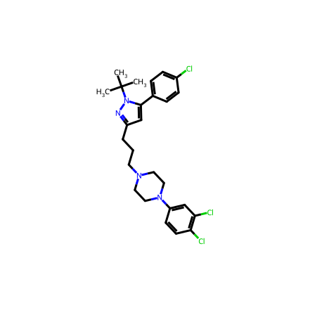 CC(C)(C)n1nc(CCCN2CCN(c3ccc(Cl)c(Cl)c3)CC2)cc1-c1ccc(Cl)cc1